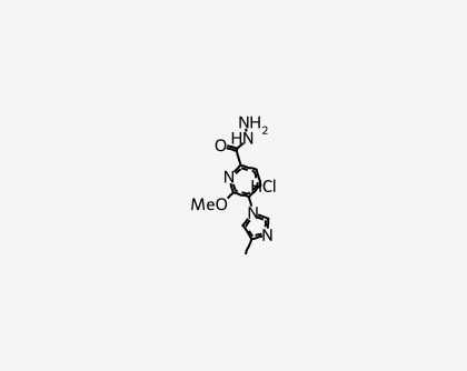 COc1nc(C(=O)NN)ccc1-n1cnc(C)c1.Cl